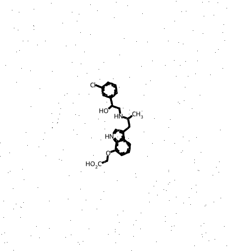 CC(Cc1c[nH]c2c(OCC(=O)O)cccc12)NCC(O)c1cccc(Cl)c1